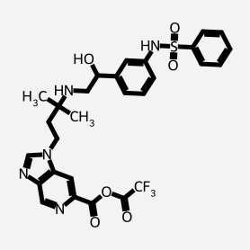 CC(C)(CCn1cnc2cnc(C(=O)OC(=O)C(F)(F)F)cc21)NCC(O)c1cccc(NS(=O)(=O)c2ccccc2)c1